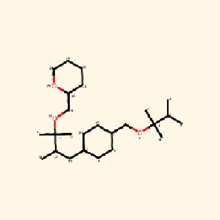 CC(C)C(C)(C)OCC1CCC(CC(C)C(C)(C)OCC2CCCCO2)CC1